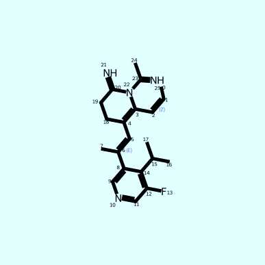 C/C=C\C1=C(/C=C(\C)c2cncc(F)c2C(C)C)CCC(=N)N1C(C)=N